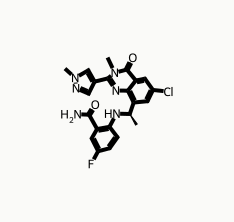 C[C@@H](Nc1ccc(F)cc1C(N)=O)c1cc(Cl)cc2c(=O)n(C)c(-c3cnn(C)c3)nc12